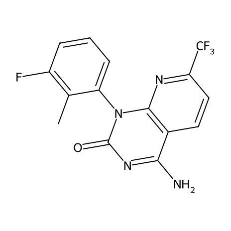 Cc1c(F)cccc1-n1c(=O)nc(N)c2ccc(C(F)(F)F)nc21